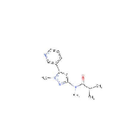 CC(C)C(=O)N(C)c1cc(-c2cccnc2)n(C)n1